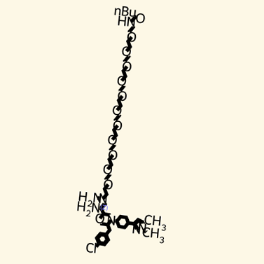 CCCCC(=O)NCCOCCOCCOCCOCCOCCOCCOCCOCCOCCOCCOCCN(N)/C=C(\N)C1CN(C2CCC(c3cc(C)n(C)n3)CC2)C(Cc2ccc(Cl)cc2)CO1